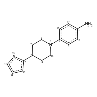 Nc1ccc(N2CCC(c3cccs3)CC2)cc1